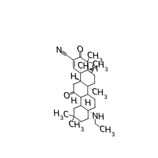 CCN[C@@]12CCC3[C@H](C(=O)C[C@@H]4[C@@]5(C)C=C(C#N)C(=O)C(C)(C)[C@@H]5CC[C@@]34C)[C@@H]1CC(C)(C)CC2